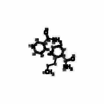 CCCc1ncccc1C(N)=O.NC(=O)c1cccnc1